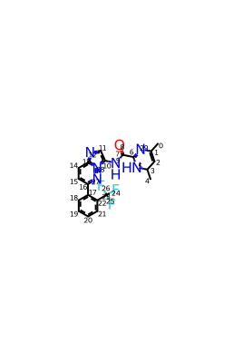 CC1=CC(C)NC(C(=O)Nc2cnc3ccc(-c4ccccc4C(F)(F)F)nn23)=N1